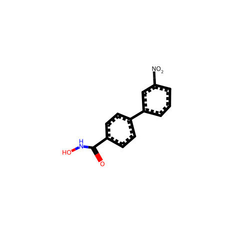 O=C(NO)c1ccc(-c2cccc([N+](=O)[O-])c2)cc1